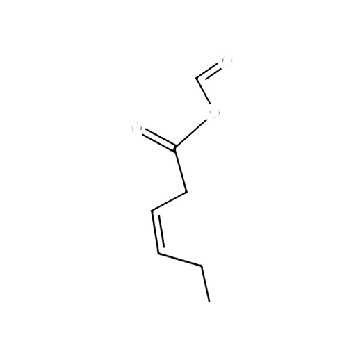 CC/C=C\CC(=O)OC=O